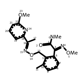 CNC(=O)/C(=N/OC)c1cccc(C)c1CO/N=C(\C)c1cccc(OC)n1